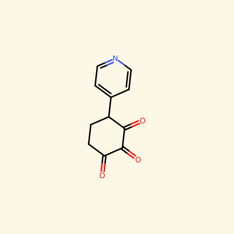 O=C1CCC(c2ccncc2)C(=O)C1=O